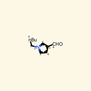 CCCCCn1ccc(C=O)c1